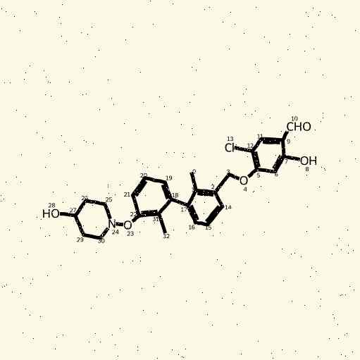 Cc1c(COc2cc(O)c(C=O)cc2Cl)cccc1-c1cccc(ON2CCC(O)CC2)c1C